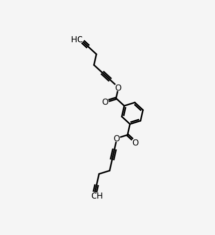 C#CCCC#COC(=O)c1cccc(C(=O)OC#CCCC#C)c1